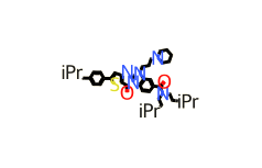 CC(C)CCN(CCC(C)C)C(=O)c1ccc2c(c1)n(CCCN1CCCCC1)c1nc3cc(-c4ccc(CC(C)C)cc4)sc3c(=O)n21